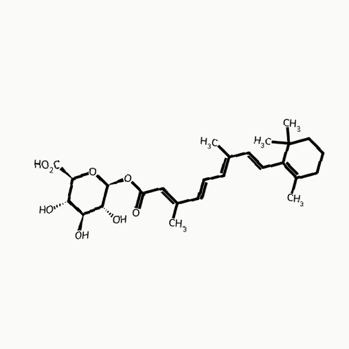 CC(C=CC1=C(C)CCCC1(C)C)=CC=CC(C)=CC(=O)O[C@@H]1O[C@H](C(=O)O)[C@@H](O)[C@H](O)[C@H]1O